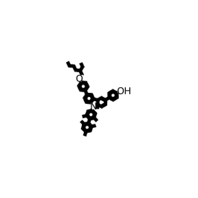 CCCCC(CC)COc1ccc(-c2ccc3c(c2)C2C=C(c4ccc(O)cc4)C=CC2(C)N3c2cc(C)c(-c3c(C)cc(C)cc3C)c(C)c2)cc1